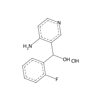 Cl.Nc1ccncc1C(O)c1ccccc1F